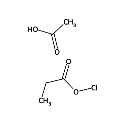 CC(=O)O.CCC(=O)OCl